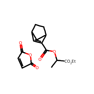 CCOC(=O)C(C)OC(=O)C1=CC2CCC1C2.O=C1C=CC(=O)O1